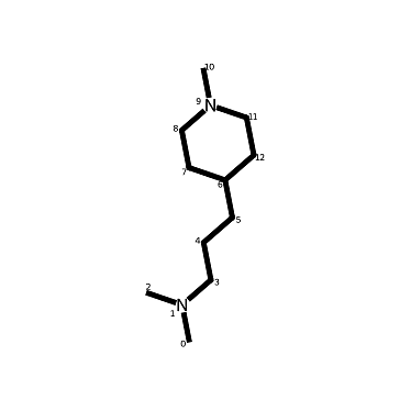 CN(C)CCCC1CCN(C)CC1